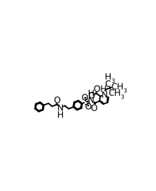 CC(C)(C)CN1C=CC=C(C(=O)NS(=O)(=O)c2ccc(CCNC(=O)CCc3ccccc3)cc2)C1C(=O)O